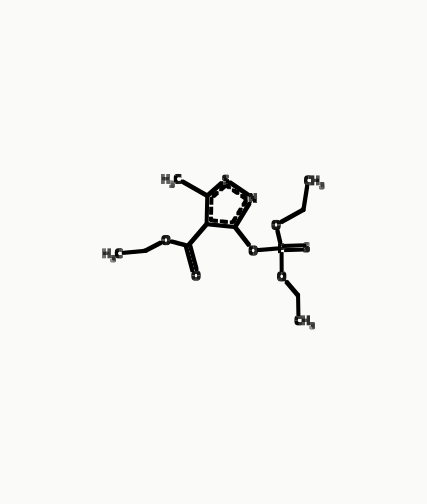 CCOC(=O)c1c(OP(=S)(OCC)OCC)nsc1C